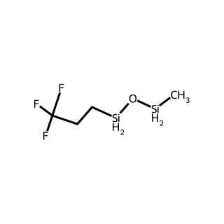 C[SiH2]O[SiH2]CCC(F)(F)F